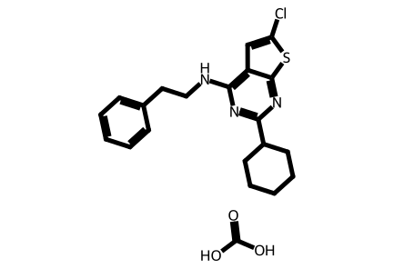 Clc1cc2c(NCCc3ccccc3)nc(C3CCCCC3)nc2s1.O=C(O)O